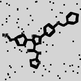 COc1ccc(-c2[nH]c(-c3ccc(OCc4ccccc4)cc3)nc2C(=O)Nc2nccs2)cc1